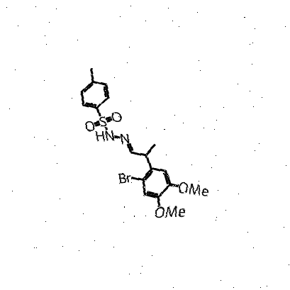 COc1cc(Br)c(C(C)C=NNS(=O)(=O)c2ccc(C)cc2)cc1OC